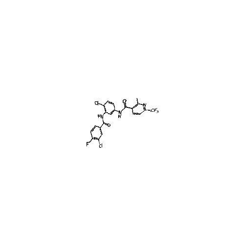 Cc1nc(C(F)(F)F)ccc1C(=O)Nc1ccc(Cl)c(NC(=O)c2ccc(F)c(Cl)c2)c1